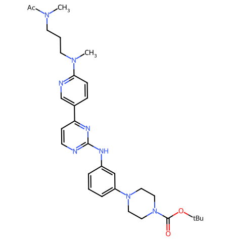 CC(=O)N(C)CCCN(C)c1ccc(-c2ccnc(Nc3cccc(N4CCN(C(=O)OC(C)(C)C)CC4)c3)n2)cn1